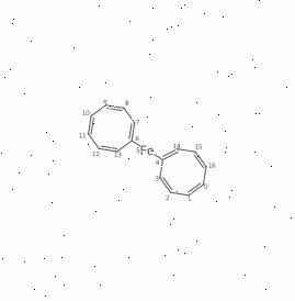 C1=CC=C[C]([Fe][C]2=CC=CC=CC=C2)=CC=C1